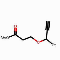 [C]#CC(CC)OCCC(=O)OC